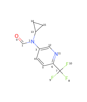 O=CN(c1[c]cc(C(F)(F)F)nc1)C1CC1